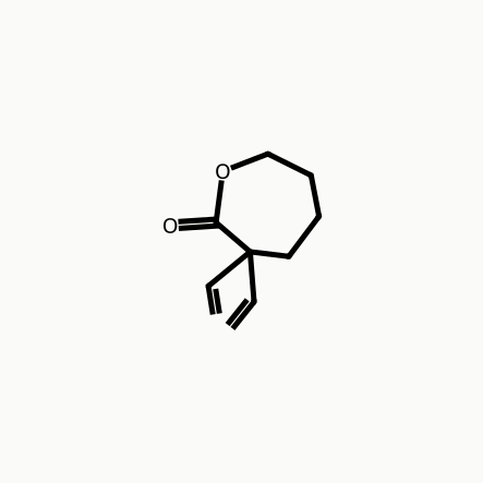 C=CC1(C=C)CCCCOC1=O